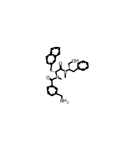 CN(C(=O)[C@@H](Cc1ccc2ccccc2c1)N(C)C(=O)c1cccc(CN)c1)[C@@H](CO)Cc1ccccc1